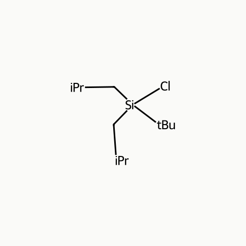 CC(C)C[Si](Cl)(CC(C)C)C(C)(C)C